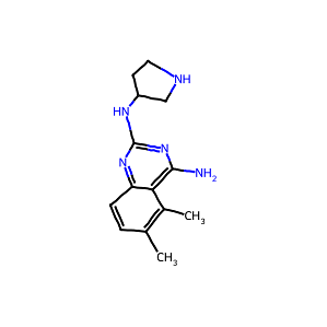 Cc1ccc2nc(NC3CCNC3)nc(N)c2c1C